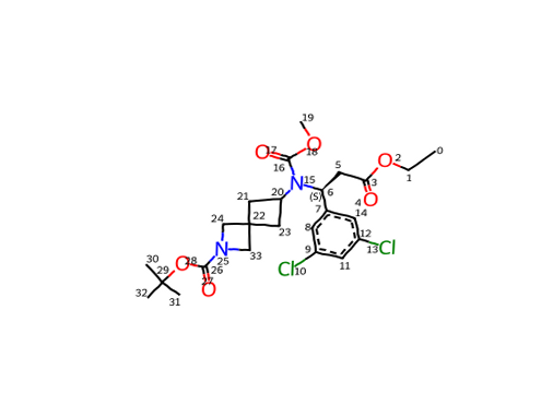 CCOC(=O)C[C@@H](c1cc(Cl)cc(Cl)c1)N(C(=O)OC)C1CC2(C1)CN(C(=O)OC(C)(C)C)C2